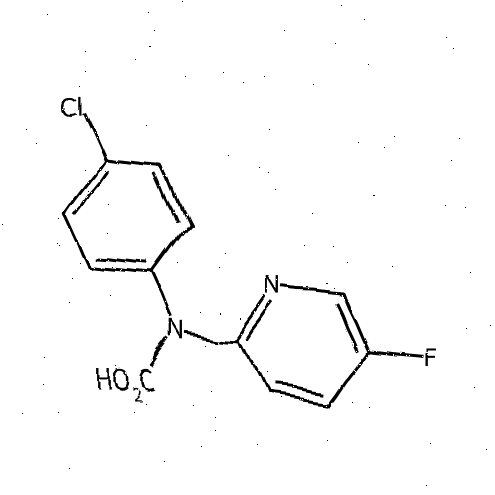 O=C(O)N(c1ccc(Cl)cc1)c1ccc(F)cn1